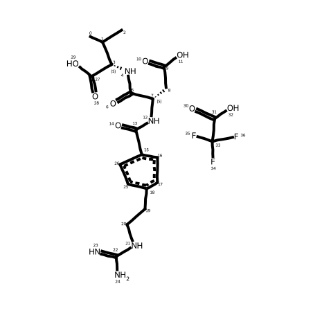 CC(C)[C@H](NC(=O)[C@H](CC(=O)O)NC(=O)c1ccc(CCNC(=N)N)cc1)C(=O)O.O=C(O)C(F)(F)F